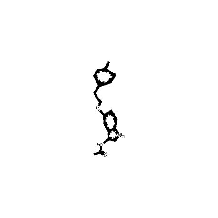 CC(=O)Nc1c[nH]c2ccc(OCCc3ccc(C)cc3)cc12